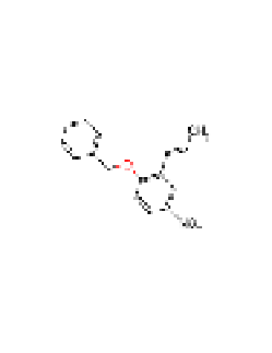 CC=Cc1cc([N+](=O)[O-])ccc1OCc1ccccc1